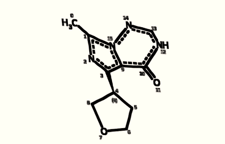 Cc1nc([C@H]2CCOC2)c2c(=O)[nH]cnn12